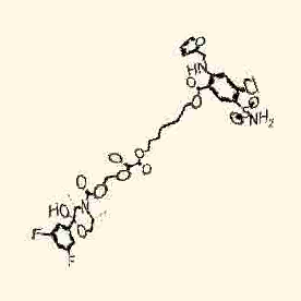 C[C@@H]1CO[C@@](O)(c2cc(F)cc(F)c2)[C@H](C)N1C(=O)OCOC(=O)C(=O)OCCCCCCOC(=O)c1cc(S(N)(=O)=O)c(Cl)cc1NCc1ccco1